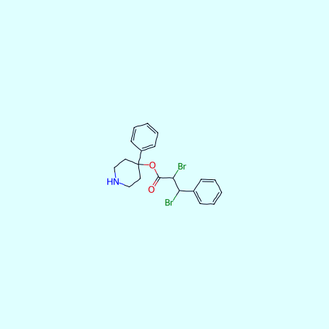 O=C(OC1(c2ccccc2)CCNCC1)C(Br)C(Br)c1ccccc1